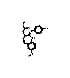 COC(=O)C[C@@H]1N=Cc2cc(OC)ccc2NC1=[SH]c1ccc(Br)cc1